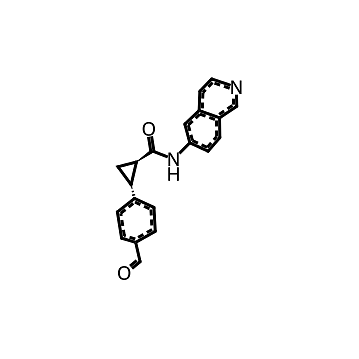 O=Cc1ccc([C@@H]2C[C@H]2C(=O)Nc2ccc3cnccc3c2)cc1